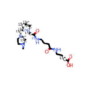 CN1CCN([13CH2][13CH]2[13CH2][13CH2][13CH2][15N]2[13CH2]C(=O)[15NH]CCCC(=O)NCC[13CH2]C(=O)O)[13CH2][13CH2]1